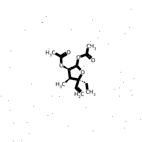 C=C[C@]1(CC)OC(OC(C)=O)[C@H](OC(C)=O)[C@@H]1C